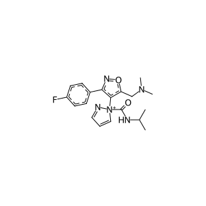 CC(C)NC(=O)[N+]1(c2c(-c3ccc(F)cc3)noc2CN(C)C)C=CC=N1